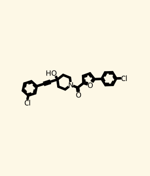 O=C(c1ccc(-c2ccc(Cl)cc2)o1)N1CCC(O)(C#Cc2cccc(Cl)c2)CC1